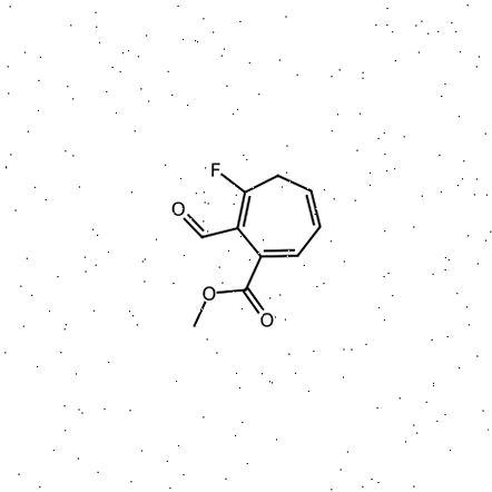 COC(=O)C1=CC=CCC(F)=C1C=O